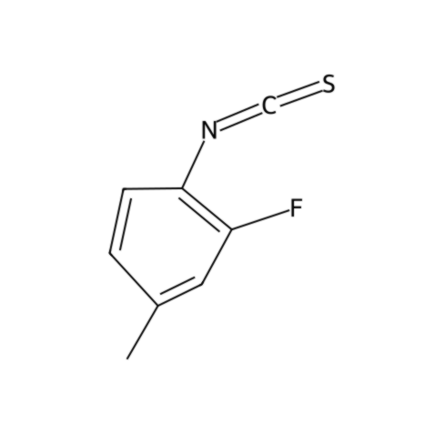 Cc1ccc(N=C=S)c(F)c1